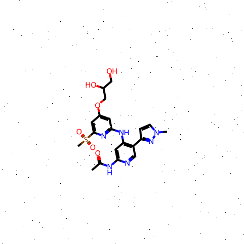 CC(=O)Nc1cc(Nc2cc(OCC(O)CO)cc(S(C)(=O)=O)n2)c(-c2ccn(C)n2)cn1